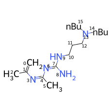 C=C(C)/N=C(C)\N=C(/N)NCCCN(CCCC)CCCC